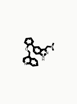 CN(C)Cc1n[nH]c2ccc(-c3ccccc3OCc3ccnc4ccccc34)cc12